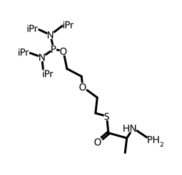 CC(NP)C(=O)SCCOCCOP(N(C(C)C)C(C)C)N(C(C)C)C(C)C